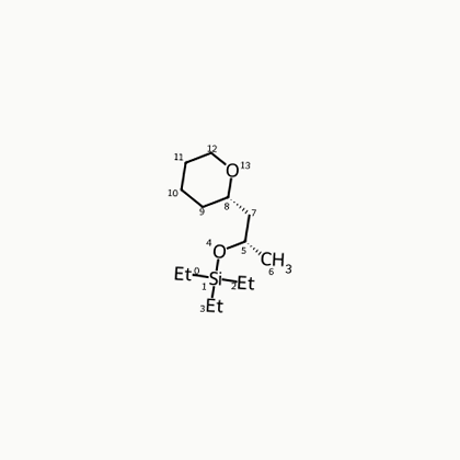 CC[Si](CC)(CC)O[C@@H](C)C[C@@H]1CCCCO1